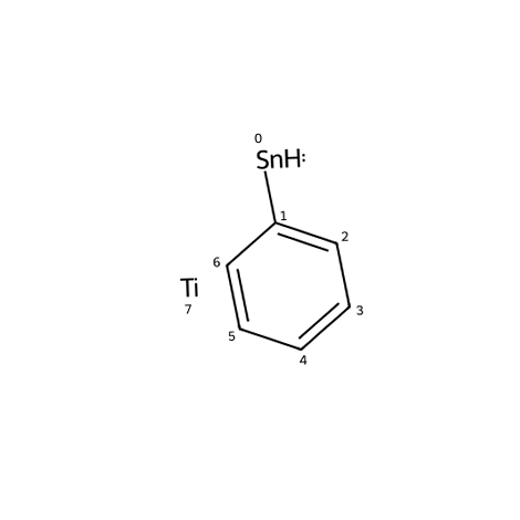 [SnH][c]1ccccc1.[Ti]